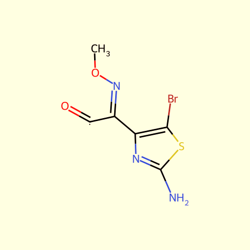 CO/N=C(\[C]=O)c1nc(N)sc1Br